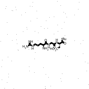 CC(C)(C)C(=O)[C@H](CC(=O)O)NC(=O)CNC(=O)[C@@H](N)CCCNC(=N)N